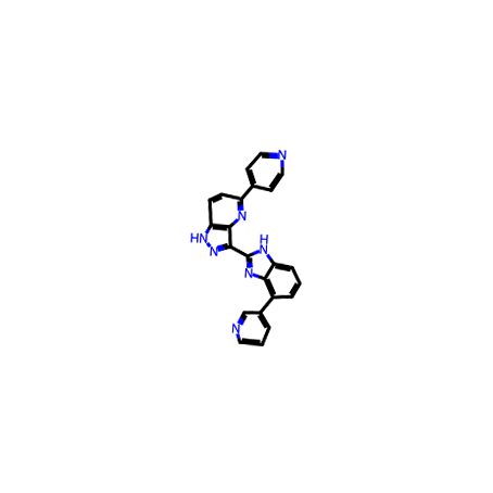 c1cncc(-c2cccc3[nH]c(-c4n[nH]c5ccc(-c6ccncc6)nc45)nc23)c1